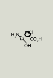 Cl.NC1CC(CO)C1.O=C(O)c1ccccc1